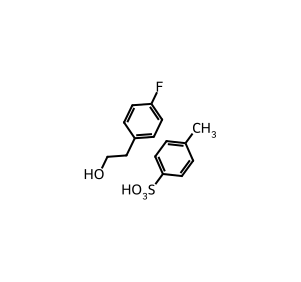 Cc1ccc(S(=O)(=O)O)cc1.OCCc1ccc(F)cc1